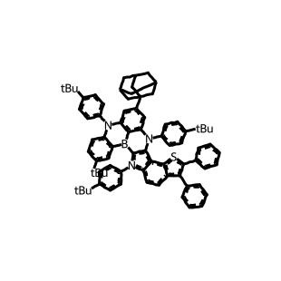 CC(C)(C)c1ccc(N2c3ccc(C(C)(C)C)cc3B3c4c2cc(C25CC6CC(CC(C6)C2)C5)cc4N(c2ccc(C(C)(C)C)cc2)c2c3n(-c3ccc(C(C)(C)C)cc3)c3ccc4c(-c5ccccc5)c(-c5ccccc5)sc4c23)cc1